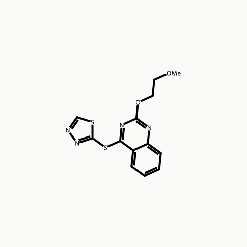 COCCOc1nc(Sc2nncs2)c2ccccc2n1